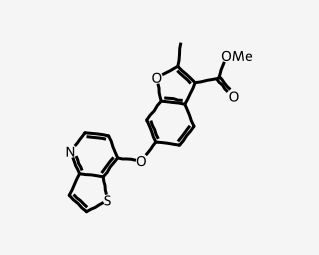 COC(=O)c1c(C)oc2cc(Oc3ccnc4ccsc34)ccc12